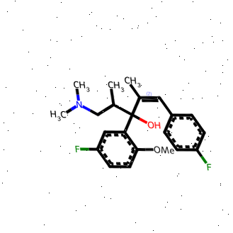 COc1ccc(F)cc1C(O)(/C(C)=C\c1ccc(F)cc1)C(C)CN(C)C